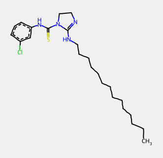 CCCCCCCCCCCCCCNC1=NCCN1C(=S)Nc1cccc(Cl)c1